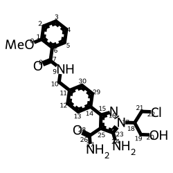 COc1ccccc1C(=O)NCc1ccc(-c2nn(C(CO)CCl)c(N)c2C(N)=O)cc1